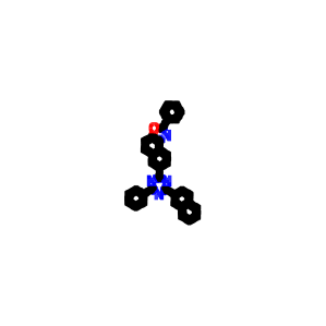 c1ccc(-c2nc(-c3ccc4ccccc4c3)nc(-c3ccc4c(ccc5oc(-c6ccccc6)nc54)c3)n2)cc1